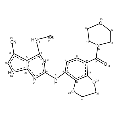 CCCCNc1nc(Nc2ccc(C(=O)N3CCOCC3)c3c2OCCO3)nc2[nH]cc(C#N)c12